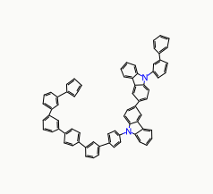 c1ccc(-c2cccc(-c3cccc(-c4ccc(-c5cccc(-c6ccc(-n7c8ccccc8c8cc(-c9ccc%10c(c9)c9ccccc9n%10-c9cccc(-c%10ccccc%10)c9)ccc87)cc6)c5)cc4)c3)c2)cc1